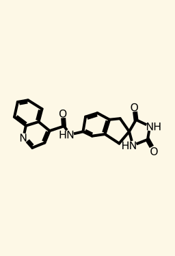 O=C1NC(=O)C2(Cc3ccc(NC(=O)c4ccnc5ccccc45)cc3C2)N1